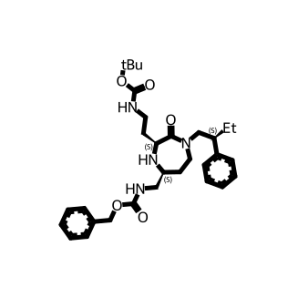 CC[C@H](CN1CC[C@@H](CNC(=O)OCc2ccccc2)N[C@@H](CCNC(=O)OC(C)(C)C)C1=O)c1ccccc1